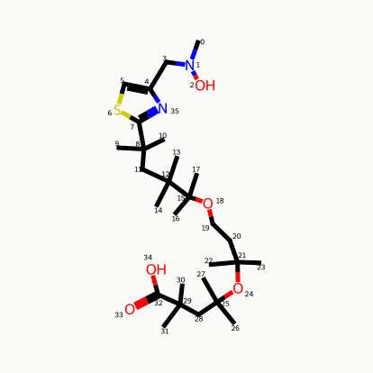 CN(O)Cc1csc(C(C)(C)CC(C)(C)C(C)(C)OCCC(C)(C)OC(C)(C)CC(C)(C)C(=O)O)n1